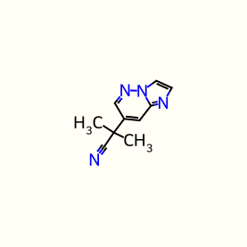 CC(C)(C#N)c1cnn2ccnc2c1